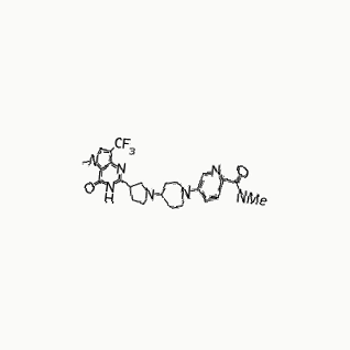 CNC(=O)c1ccc(N2CCC(N3CCC(c4nc5c(C(F)(F)F)cn(C)c5c(=O)[nH]4)C3)CC2)cn1